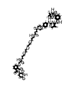 Cc1cnc(Nc2ccc(N3CCN(C(=O)CCC(=O)NCCCOCCOCCOCCCNC(=O)COc4cccc5c4C(=O)N(C4CCC(=O)NC4=O)C5=O)CC3)cc2)nc1Nc1cccc(S(=O)(=O)NC(C)(C)C)c1